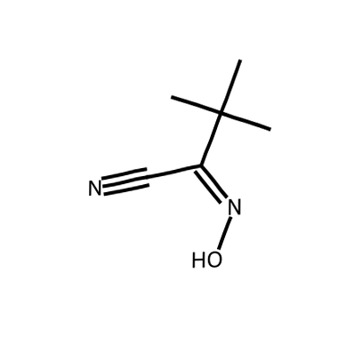 CC(C)(C)C(C#N)=NO